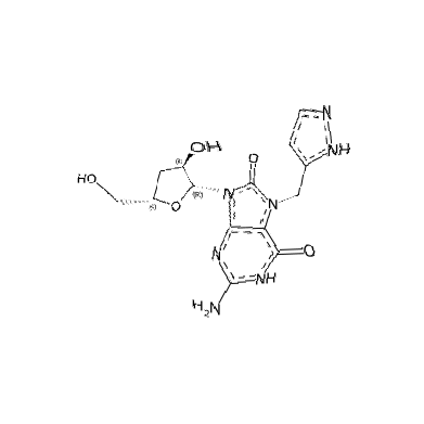 Nc1nc2c(c(=O)[nH]1)n(Cc1ccn[nH]1)c(=O)n2[C@@H]1O[C@H](CO)C[C@H]1O